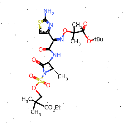 CCOC(=O)C(C)(C)COS(=O)(=O)N1C(=O)[C@@H](NC(=O)/C(=N/OC(C)(C)C(=O)OC(C)(C)C)c2csc(N)n2)[C@@H]1C